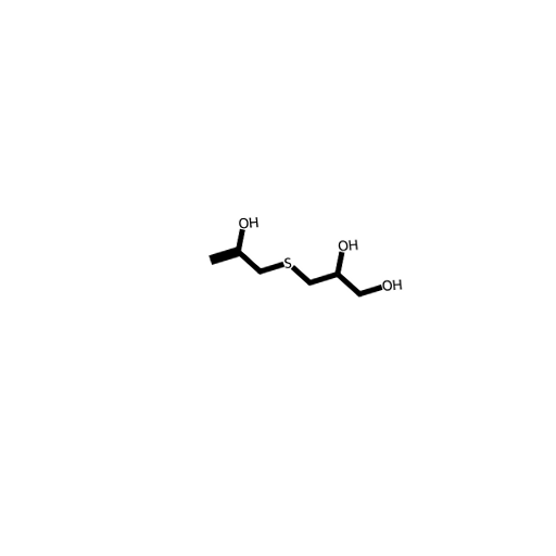 C=C(O)CSCC(O)CO